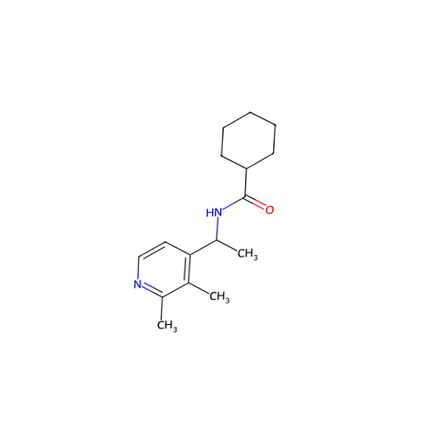 Cc1nccc(C(C)NC(=O)C2CCCCC2)c1C